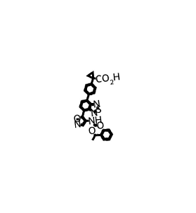 CC(OC(=O)Nc1cnoc1-c1ccc(-c2ccc(C3(C(=O)O)CC3)cc2)c2nsnc12)c1ccccc1